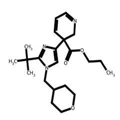 CCCOC(=O)C1(c2cn(CC3CCOCC3)c(C(C)(C)C)n2)C=CC=NC1